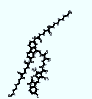 CCOCCOCCNC(=O)CCCC(=O)Nc1ccc2c(c1)C(COC(=O)N(CC)CCNC(=O)c1c(C)[nH]c(/C=C3\C(=O)Nc4ccc(F)cc43)c1C)c1cc(NC(=O)CCCC(=O)NCCOCCCCO)ccc1-2